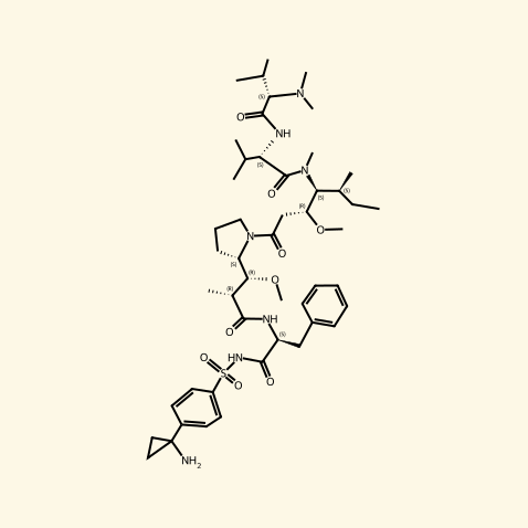 CC[C@H](C)[C@@H]([C@@H](CC(=O)N1CCC[C@H]1[C@H](OC)[C@@H](C)C(=O)N[C@@H](Cc1ccccc1)C(=O)NS(=O)(=O)c1ccc(C2(N)CC2)cc1)OC)N(C)C(=O)[C@@H](NC(=O)[C@H](C(C)C)N(C)C)C(C)C